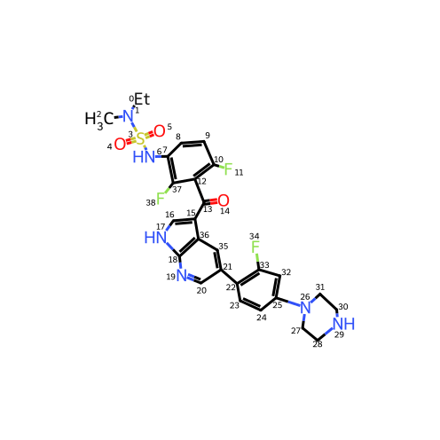 CCN(C)S(=O)(=O)Nc1ccc(F)c(C(=O)c2c[nH]c3ncc(-c4ccc(N5CCNCC5)cc4F)cc23)c1F